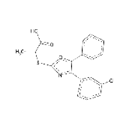 CC(Sc1nc(-c2cccc(Cl)c2)c(-c2ccccc2)o1)C(=O)O